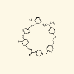 CC(C)c1ccc(OCCc2ccc(CN3CCN(C(=O)C=Cc4ccc(Oc5ccc(OCc6ccccc6Cl)cn5)c(F)c4)CC3)cc2)cc1